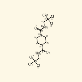 O=C(NCC(Cl)(Cl)Cl)N1CCN(C(=O)NCC(Cl)(Cl)Cl)CC1